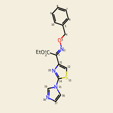 CCOC(=O)/C(=N\OCc1ccccc1)c1csc(-n2ccnc2)n1